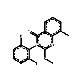 CSc1nc2c(C)cccc2c(=O)n1-c1c(F)cccc1F